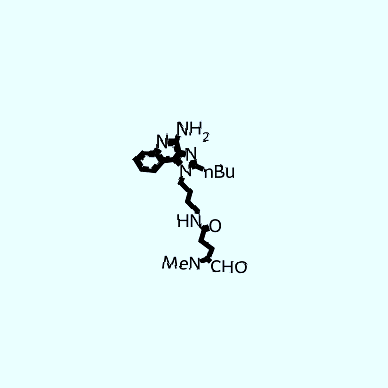 CCCCc1nc2c(N)nc3ccccc3c2n1CCCCNC(=O)CCC(C=O)NC